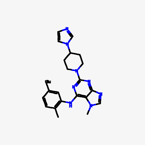 Cc1ccc(C(C)(C)C)cc1Nc1nc(N2CCC(n3ccnc3)CC2)nc2ncn(C)c12